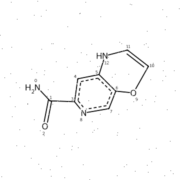 NC(=O)c1cc2c(cn1)OC=CN2